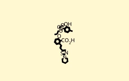 Cc1ccc(S(=O)(=O)OCC(C)Oc2cccc(C=Cc3cnc(N4CCCCC4)s3)c2C(=O)O)c(O)c1